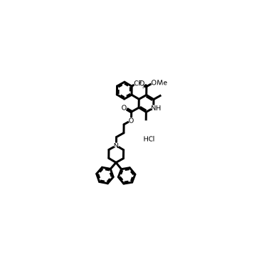 COC(=O)C1=C(C)NC(C)=C(C(=O)OCCCN2CCC(c3ccccc3)(c3ccccc3)CC2)C1c1ccccc1C(F)(F)F.Cl